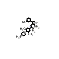 Cc1cc(/C(N)=C/c2c(-c3cccc(C#N)c3)c[nH]c2N)cc(C)c1N1CCN(C)CC1